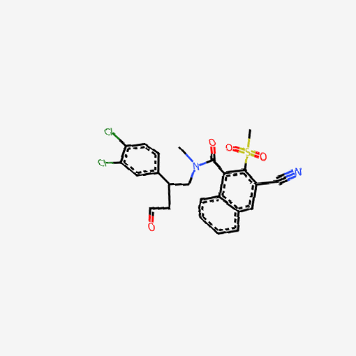 CN(CC(CC=O)c1ccc(Cl)c(Cl)c1)C(=O)c1c(S(C)(=O)=O)c(C#N)cc2ccccc12